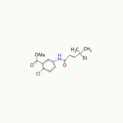 CCC(C)(C)CCC(=O)Nc1ccc(Cl)c(C(=O)OC)c1